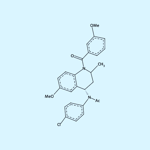 COc1cccc(C(=O)N2c3ccc(OC)cc3[C@@H](N(C(C)=O)c3ccc(Cl)cc3)CC2C)c1